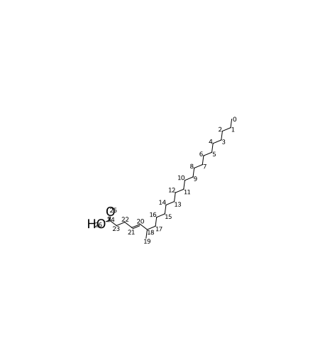 CCCCCCCCCCCCCCCCCCC(C)C=CCCC(=O)O